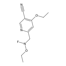 CCOc1cc(CN(F)OCC)ncc1C#N